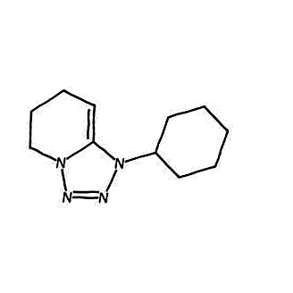 C1=C2N(CCC1)N=NN2C1CCCCC1